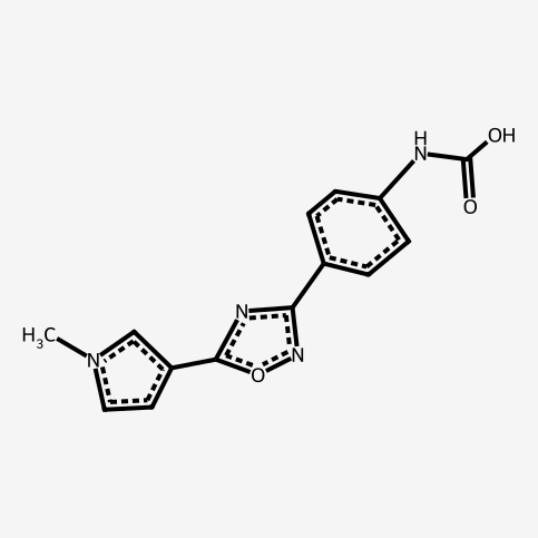 Cn1ccc(-c2nc(-c3ccc(NC(=O)O)cc3)no2)c1